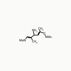 CN/C=C(\C)C(N)/C=C(\C)ONC